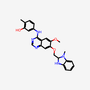 COc1cc2c(Nc3ccc(C)c(O)c3)ncnc2cc1OCC1Nc2ccccc2N1C